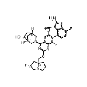 N#Cc1c(N)sc2c(F)ccc(-c3c(Cl)cc4c(N5C[C@@H]6C[C@H](C5)[C@H](O)C6)nc(OC[C@@]56CCCN5C[C@H](F)C6)nc4c3F)c12